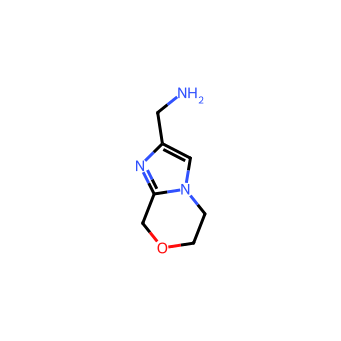 NCc1cn2c(n1)COCC2